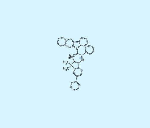 C=C(/C(=N\C1=C(CCC)C(C)(C)c2cc(-c3ccccc3)ccc21)c1ccccc1)n1c2ccccc2c2cc3ccccc3cc21